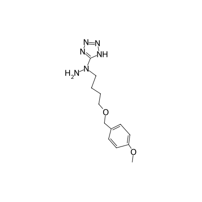 COc1ccc(COCCCCN(N)c2nnn[nH]2)cc1